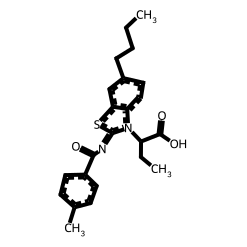 CCCCc1ccc2c(c1)sc(=NC(=O)c1ccc(C)cc1)n2C(CC)C(=O)O